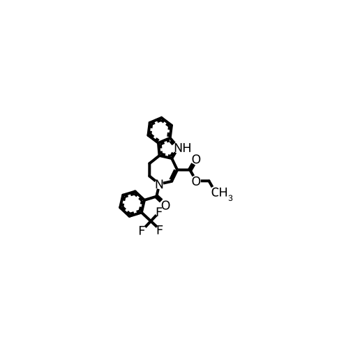 CCOC(=O)C1=CN(C(=O)c2ccccc2C(F)(F)F)CCc2c1[nH]c1ccccc21